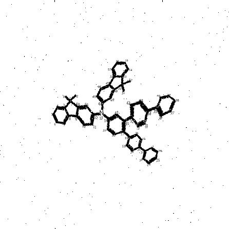 CC1(C)c2ccccc2-c2ccc(N(c3ccc(-c4ccc(-c5ccccc5)cc4)c(-c4ccc(-c5ccccc5)cc4)c3)c3ccc4c(c3)C(C)(C)c3ccccc3-4)cc21